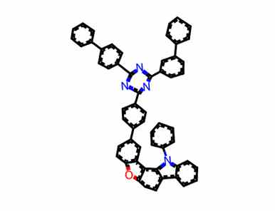 c1ccc(-c2ccc(-c3nc(-c4ccc(-c5ccc6oc7ccc8c9ccccc9n(-c9ccccc9)c8c7c6c5)cc4)nc(-c4cccc(-c5ccccc5)c4)n3)cc2)cc1